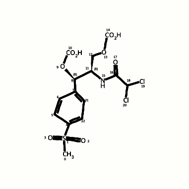 CS(=O)(=O)c1ccc([C@@H](OC(=O)O)[C@@H](COC(=O)O)NC(=O)C(Cl)Cl)cc1